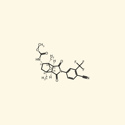 COC(=O)N[C@H]1C[C@@]2(C)O[C@]1(C)[C@H]1C(=O)N(c3ccc(C#N)c(C(F)(F)F)c3)C(=O)[C@H]12